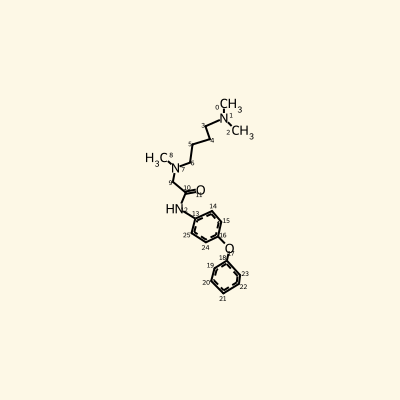 CN(C)CCCCN(C)CC(=O)Nc1ccc(Oc2ccccc2)cc1